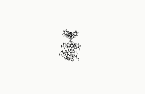 COc1c(C)c(OC(=O)c2c(C)c(C)c(OCCCN(S(=O)(=O)c3ccccc3)S(=O)(=O)c3ccccc3)c(C)c2OC)c(C)c(C)c1C(=O)O